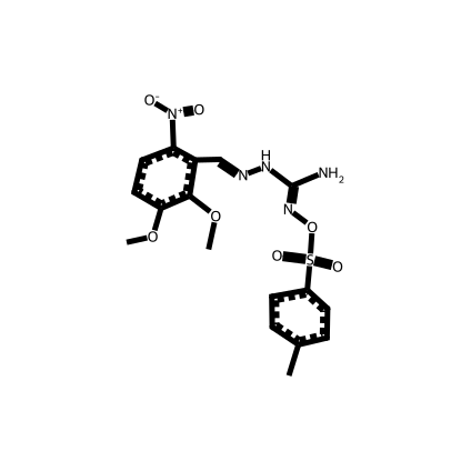 COc1ccc([N+](=O)[O-])c(C=NNC(N)=NOS(=O)(=O)c2ccc(C)cc2)c1OC